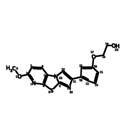 COc1ccc2c(n1)sc1nc(-c3cccc(OCCO)c3)cn12